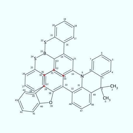 CC1(C)c2ccccc2N(c2cc3c4c(c2)-c2ccccc2SB4Sc2ccccc2-3)c2c(-c3cccc4c3oc3ccccc34)cccc21